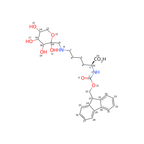 O=C(N[C@@H](CCCCNCC1(O)OCC(O)C(O)C1O)C(=O)O)OCC1c2ccccc2-c2ccccc21